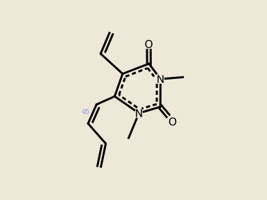 C=C/C=C\c1c(C=C)c(=O)n(C)c(=O)n1C